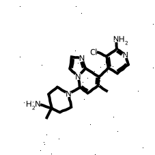 Cc1cc(N2CCC(C)(N)CC2)n2ccnc2c1-c1ccnc(N)c1Cl